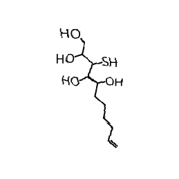 C=CCCCCC(O)C(O)C(S)C(O)CO